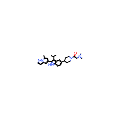 Cc1cc(-c2[nH]c3ccc(C4CCN(C(=O)CN(C)C)CC4)cc3c2C(C)C)cc2ccnn12